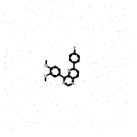 COc1ccc(-c2ncnc3ccc(-c4ccc(F)cc4)nc23)cc1OC